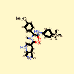 COc1ccc(C(C(=O)Nc2ccc([Si](C)(C)C)cc2)N(C)C(=O)c2c[nH]c3cncc-3c2)cc1